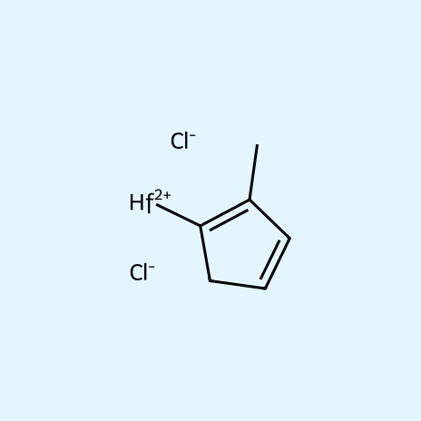 CC1=[C]([Hf+2])CC=C1.[Cl-].[Cl-]